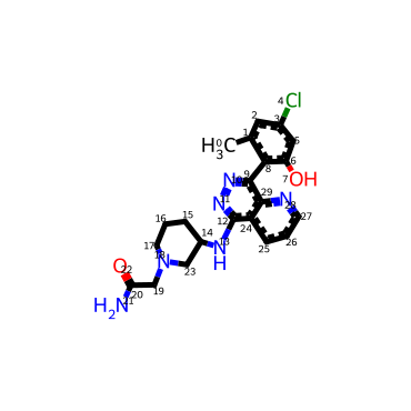 Cc1cc(Cl)cc(O)c1-c1nnc(NC2CCCN(CC(N)=O)C2)c2cccnc12